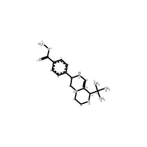 COC(=O)c1ccc(C2CN3CCOC(C(C)(C)C)C3=CN2)cc1